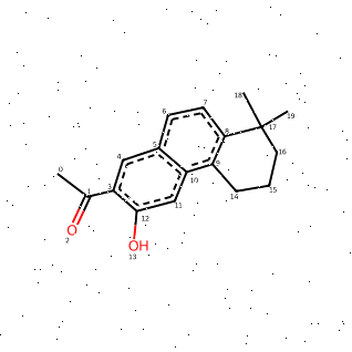 CC(=O)c1cc2ccc3c(c2cc1O)CCCC3(C)C